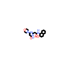 O=C(Cc1nc(N2CCOCC2)cc(=O)[nH]1)Nc1c(O)ccc2ccccc12